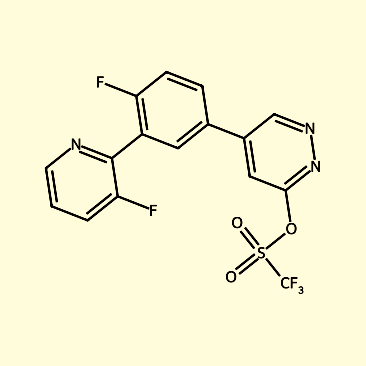 O=S(=O)(Oc1cc(-c2ccc(F)c(-c3ncccc3F)c2)cnn1)C(F)(F)F